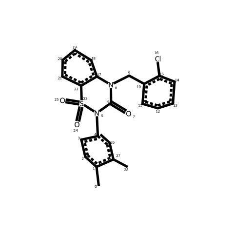 Cc1ccc(N2C(=O)N(Cc3ccccc3Cl)c3ccccc3S2(=O)=O)cc1C